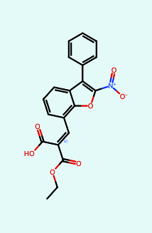 CCOC(=O)/C(=C/c1cccc2c(-c3ccccc3)c([N+](=O)[O-])oc12)C(=O)O